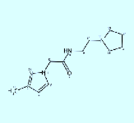 Cc1[c]cn(CC(=O)NCCN2CCCC2)n1